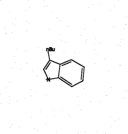 CCCCC1=C[N]c2ccccc21